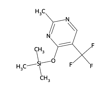 Cc1ncc(C(F)(F)F)c(O[Si](C)(C)C)n1